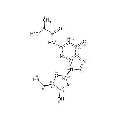 CC(C)C(=O)Nc1nc2c(ncn2[C@H]2CC(O)[C@@H](CS)O2)c(=O)[nH]1